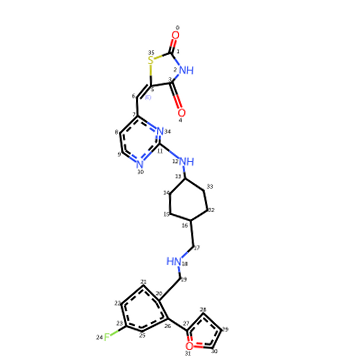 O=C1NC(=O)/C(=C\c2ccnc(NC3CCC(CNCc4ccc(F)cc4-c4ccco4)CC3)n2)S1